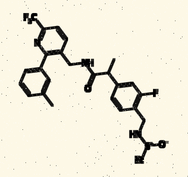 CC[S+]([O-])NCc1ccc(C(C)C(=O)NCc2ccc(C(F)(F)F)nc2-c2cccc(C)c2)cc1F